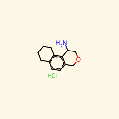 Cl.NC1COCc2ccc3c(c21)CCCC3